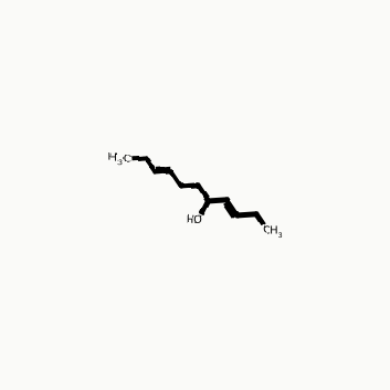 CCC=CCCC(O)C=CCC